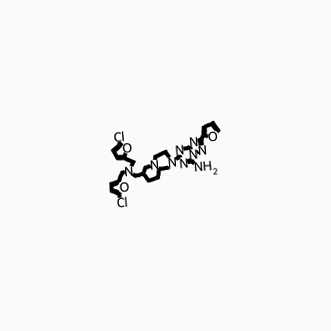 Nc1nc(N2CCN3CC(CN(Cc4ccc(Cl)o4)Cc4ccc(Cl)o4)CCC3C2)nc2nc(-c3ccco3)nn12